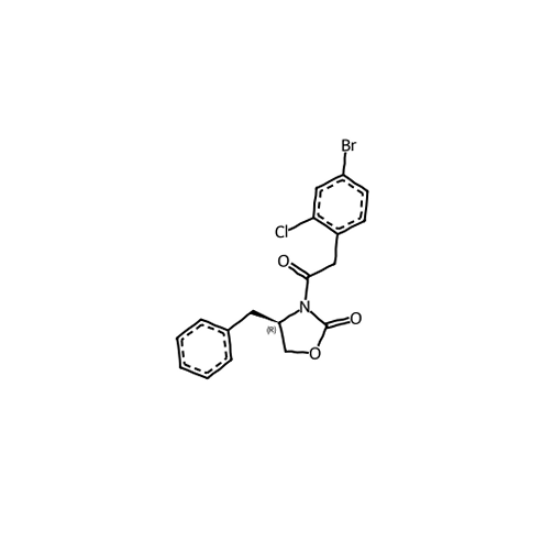 O=C(Cc1ccc(Br)cc1Cl)N1C(=O)OC[C@H]1Cc1ccccc1